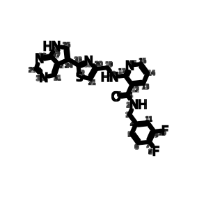 O=C(NCc1ccc(F)c(F)c1)c1cccnc1NCc1csc(-c2c[nH]c3ncncc23)n1